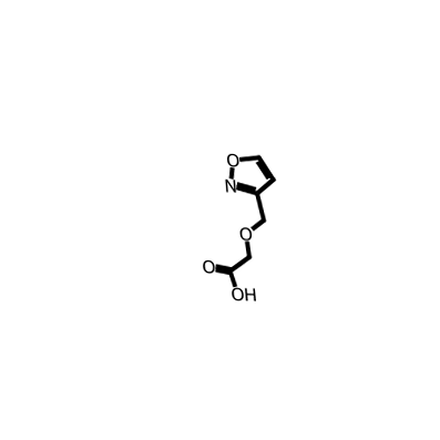 O=C(O)COCc1ccon1